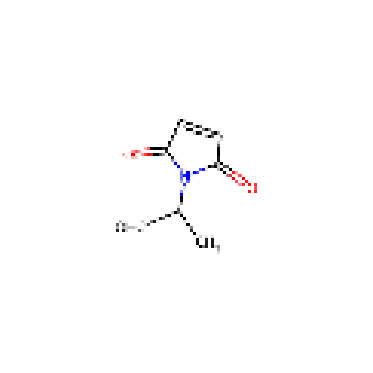 CC(C=O)N1C(=O)C=CC1=O